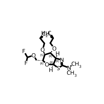 C=CCO[C@@H]1[C@H]2N=C(N(C)C)S[C@H]2O[C@H](COC(F)F)[C@H]1OCC=C